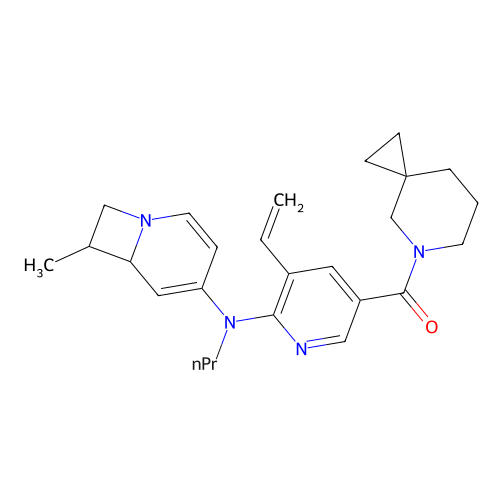 C=Cc1cc(C(=O)N2CCCC3(CC3)C2)cnc1N(CCC)C1=CC2C(C)CN2C=C1